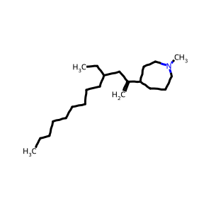 C=C(CC(CC)CCCCCCCCC)C1CCCN(C)CC1